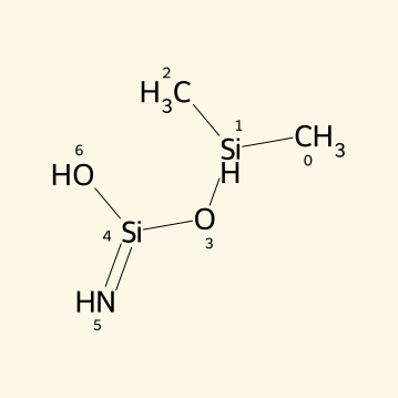 C[SiH](C)O[Si](=N)O